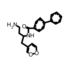 NCCC(CC1=COOC=C1)NC(=O)c1ccc(-c2ccccc2)cc1